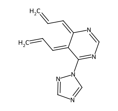 C=C/C=c1/ncnc(-n2cncn2)/c1=C/C=C